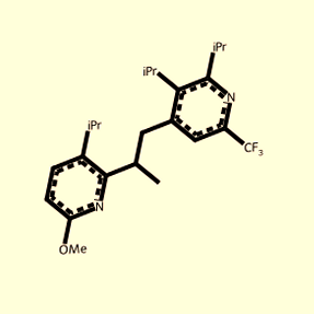 COc1ccc(C(C)C)c(C(C)Cc2cc(C(F)(F)F)nc(C(C)C)c2C(C)C)n1